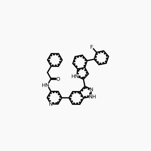 O=C(Cc1ccccc1)Nc1cncc(-c2ccc3[nH]nc(-c4cc5c(-c6ccccc6F)cccc5[nH]4)c3c2)c1